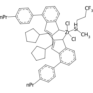 CCCc1ccc(-c2cccc3c2C=C(CC2CCCC2)[CH]3[Zr]([Cl])([Cl])([CH]2C(CC3CCCC3)=Cc3c(-c4ccc(CCC)cc4)cccc32)[SiH](C)CCC(F)(F)F)cc1